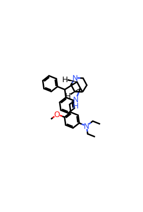 CCN(CC)c1ccc(OC)c(CN[C@H]2C3CCN(CC3)[C@H]2C(c2ccccc2)c2ccccc2)c1